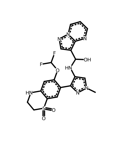 Cn1cc(NC(O)c2cnn3cccnc23)c(-c2cc3c(cc2OC(F)F)NCCS3(=O)=O)n1